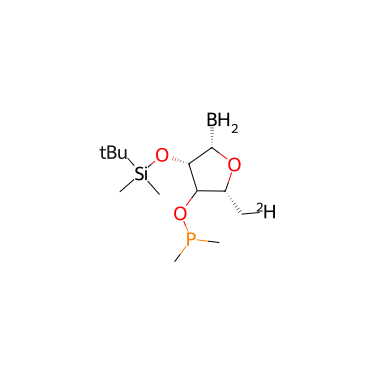 [2H]C[C@H]1O[C@@H](B)[C@@H](O[Si](C)(C)C(C)(C)C)C1OP(C)C